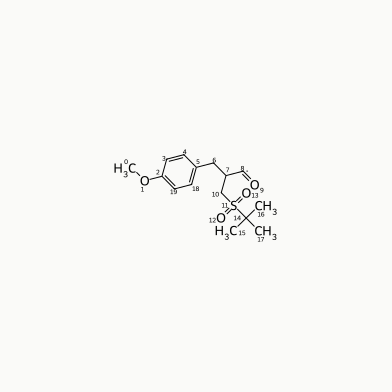 COc1ccc(CC([C]=O)CS(=O)(=O)C(C)(C)C)cc1